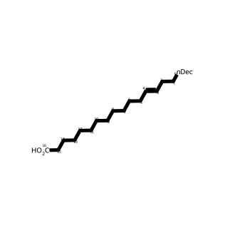 CCCCCCCCCCCCC=CCCCCCCCCCCCC(=O)O